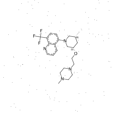 C[C@@H]1C[C@H](OCCN2CCN(C)CC2)CN(c2ccc(C(F)(F)F)c3ncccc23)C1